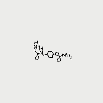 C[C@H](N)C(=O)NCc1ccc(OC(N)=O)cc1